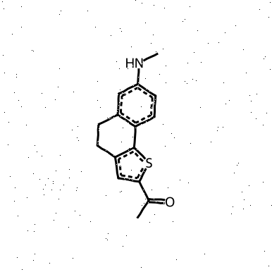 CNc1ccc2c(c1)CCc1cc(C(C)=O)sc1-2